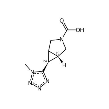 Cn1nnnc1[C@H]1C2CN(C(=O)O)C[C@@H]21